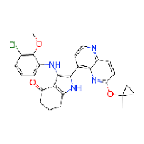 COc1c(Cl)cccc1Nc1c(-c2ccnc3ccc(OC4(C)CC4)nc23)[nH]c2c1C(=O)CCC2